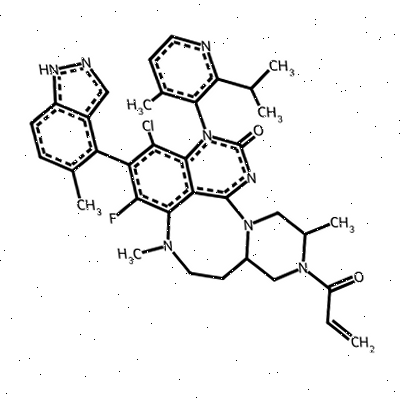 C=CC(=O)N1CC2CCN(C)c3c(F)c(-c4c(C)ccc5[nH]ncc45)c(Cl)c4c3c(nc(=O)n4-c3c(C)ccnc3C(C)C)N2CC1C